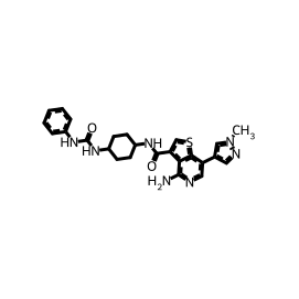 Cn1cc(-c2cnc(N)c3c(C(=O)NC4CCC(NC(=O)Nc5ccccc5)CC4)csc23)cn1